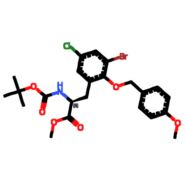 COC(=O)[C@H](Cc1cc(Cl)cc(Br)c1OCc1ccc(OC)cc1)NC(=O)OC(C)(C)C